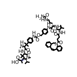 CNC(C(=O)N[C@H](C(=O)N(C)[C@H](/C=C(\C)C(=O)O)C(C)C)C(C)(C)C)C(C)(C)c1ccc(NC(=O)OCc2ccc(NC(=O)[C@H](CCCNC(N)=O)NC(=O)[C@@H](NC(=O)CCC(=O)N3CC4C=CC=CC4C#Cc4ccccc43)C(C)C)cc2)cc1